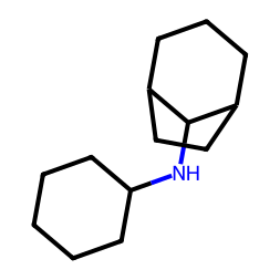 C1CCC(NC2C3CCCC2CC3)CC1